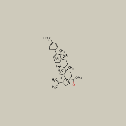 C=C(C)[C@@H]1CC[C@]2(C(=O)OC)CC[C@]3(C)[C@H](CC[C@@H]4[C@@]5(C)CC=C(c6ccc(C(=O)O)cc6)C(C)(C)[C@@H]5CC[C@]43C)[C@@H]12